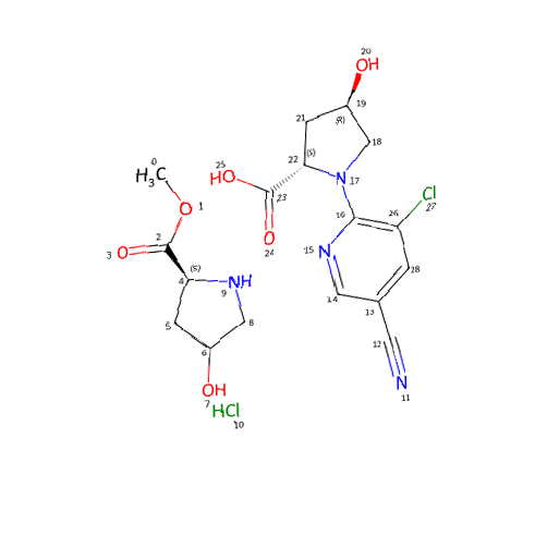 COC(=O)[C@@H]1CC(O)CN1.Cl.N#Cc1cnc(N2C[C@H](O)C[C@H]2C(=O)O)c(Cl)c1